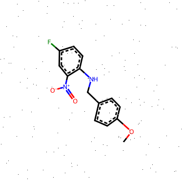 COc1ccc(CNc2ccc(F)cc2[N+](=O)[O-])cc1